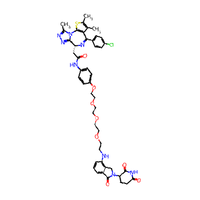 Cc1sc2c(c1C)C(c1ccc(Cl)cc1)=N[C@H](CC(=O)Nc1ccc(OCCOCCOCCOCCNc3cccc4c3CN(C3CCC(=O)NC3=O)C4=O)cc1)c1nnc(C)n1-2